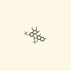 Cc1ccc2c(CC(C)(C)C)c3c(c(C)c2c1)-c1c2c(cc(CC(C)(C)C)cc2c(I)c(I)[n+]1C)S3